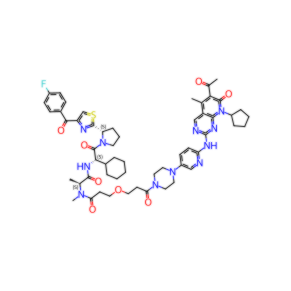 CC(=O)c1c(C)c2cnc(Nc3ccc(N4CCN(C(=O)CCOCCC(=O)N(C)[C@@H](C)C(=O)N[C@H](C(=O)N5CCC[C@H]5c5nc(C(=O)c6ccc(F)cc6)cs5)C5CCCCC5)CC4)cn3)nc2n(C2CCCC2)c1=O